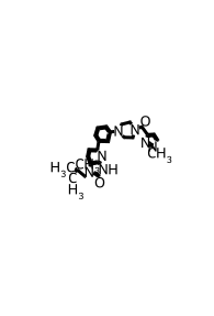 Cn1ccc(C(=O)N2CCN(c3cccc(-c4ccc5c(n4)[nH]c(=O)n5CC(C)(C)C)c3)CC2)n1